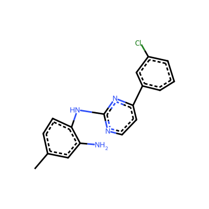 Cc1ccc(Nc2nccc(-c3cccc(Cl)c3)n2)c(N)c1